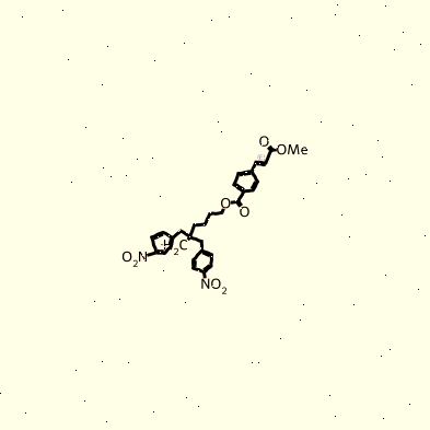 [CH2]C(CCCCOC(=O)c1ccc(/C=C/C(=O)OC)cc1)(Cc1ccc([N+](=O)[O-])cc1)Cc1ccc([N+](=O)[O-])cc1